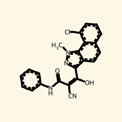 Cn1nc(C(O)=C(C#N)C(=O)Nc2ccccc2)c2ccc3cccc(Cl)c3c21